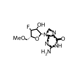 COC[C@H]1O[C@@H](n2cnc3c(=O)[nH]c(N)nc32)[C@H](O)[C@@H]1F